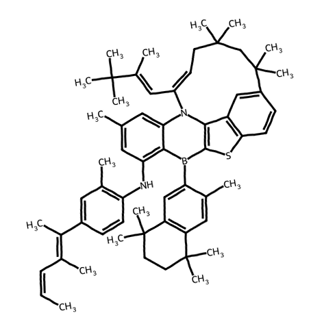 C/C=C\C(C)=C(/C)c1ccc(Nc2cc(C)cc3c2B(c2cc4c(cc2C)C(C)(C)CCC4(C)C)c2sc4ccc5cc4c2N3C(/C=C(\C)C(C)(C)C)=C/CC(C)(C)CC5(C)C)c(C)c1